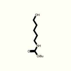 CC(C)COC(=O)NCCCCCO